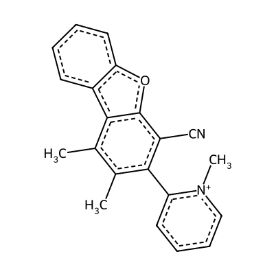 Cc1c(-c2cccc[n+]2C)c(C#N)c2oc3ccccc3c2c1C